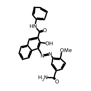 COc1ccc(C(N)=O)cc1N=Nc1c(O)c(C(=O)Nc2ccccc2)cc2ccccc12